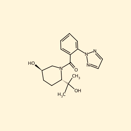 CC(C)(O)[C@@H]1CC[C@@H](O)CN1C(=O)c1ccccc1-n1nccn1